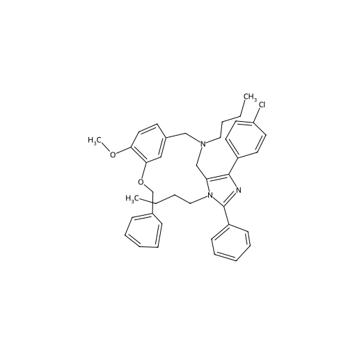 CCCCN(Cc1ccc(OC)c(OCc2ccccc2)c1)Cc1c(-c2ccc(Cl)cc2)nc(-c2ccccc2)n1CCCC